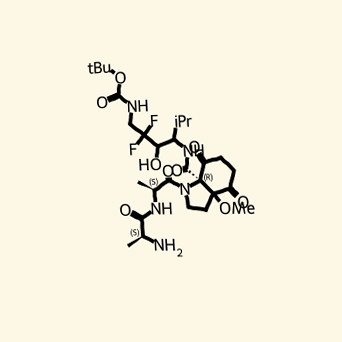 COC12CCN(C(=O)[C@H](C)NC(=O)[C@H](C)N)[C@@]1(C(=O)NC(C(C)C)C(O)C(F)(F)CNC(=O)OC(C)(C)C)C(=O)CCC2=O